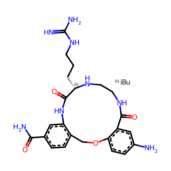 CC[C@H](C)C1CN[C@@H](CCCNC(=N)N)C(=O)Nc2cc(C(N)=O)ccc2COc2ccc(N)cc2C(=O)N1